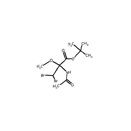 COC(NC(C)=O)(C(=O)OC(C)(C)C)C(Br)Br